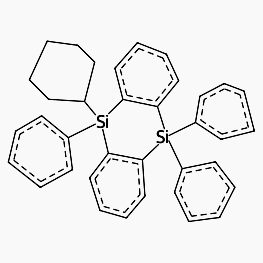 c1ccc([Si]2(c3ccccc3)c3ccccc3[Si](c3ccccc3)(C3CCCCC3)c3ccccc32)cc1